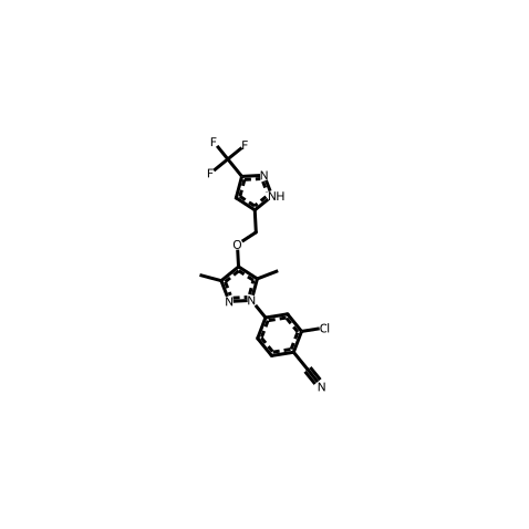 Cc1nn(-c2ccc(C#N)c(Cl)c2)c(C)c1OCc1cc(C(F)(F)F)n[nH]1